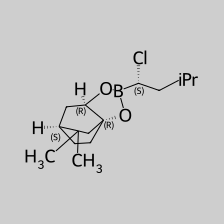 CC(C)C[C@@H](Cl)B1O[C@@H]2C[C@@H]3CC[C@]2(CC3(C)C)O1